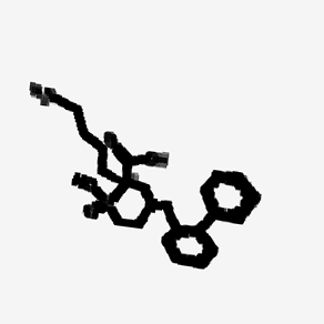 NCCCC[C@@]1(C(=O)O)CN(Cc2ccccc2-c2ccccc2)CCP1(=O)O